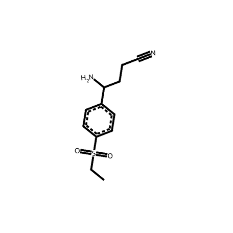 CCS(=O)(=O)c1ccc(C(N)CCC#N)cc1